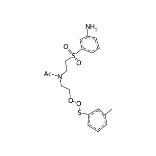 CC(=O)N(CCOOSc1cccc(C)c1)CCS(=O)(=O)c1cccc(N)c1